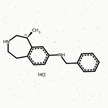 C[C@@H]1CNCCc2ccc(NCc3ccccc3)cc21.Cl